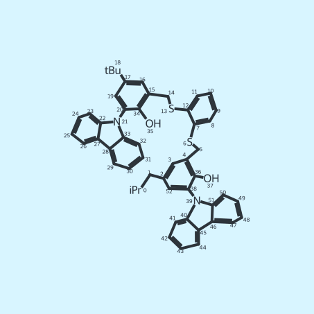 CC(C)Cc1cc(CSc2ccccc2SCc2cc(C(C)(C)C)cc(-n3c4ccccc4c4ccccc43)c2O)c(O)c(-n2c3ccccc3c3ccccc32)c1